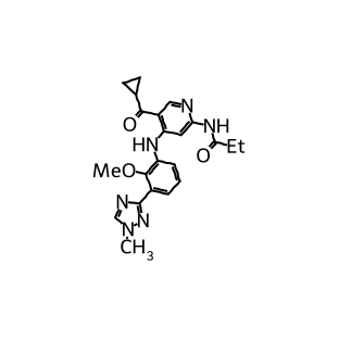 CCC(=O)Nc1cc(Nc2cccc(-c3ncn(C)n3)c2OC)c(C(=O)C2CC2)cn1